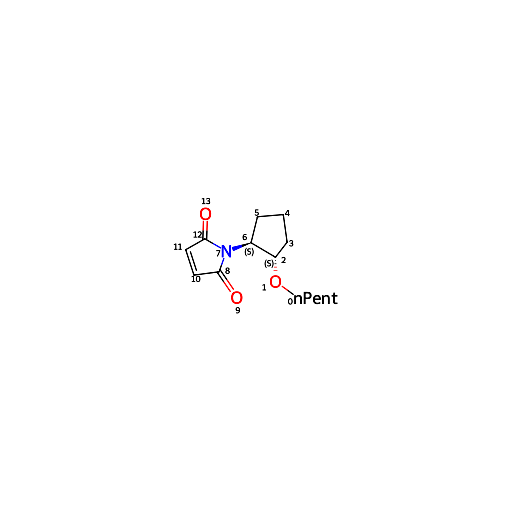 CCCCCO[C@H]1CCC[C@@H]1N1C(=O)C=CC1=O